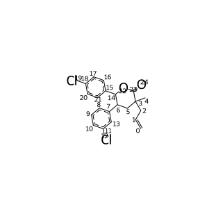 C=CCC1(C)CC(c2cccc(Cl)c2)C(c2ccc(Cl)cc2)OC1=O